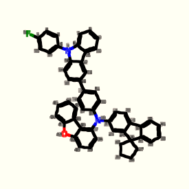 Fc1ccc(-n2c3ccccc3c3cc(-c4ccc(N(c5ccc6c(c5)C5(CCCC5)c5ccccc5-6)c5cccc6oc7ccccc7c56)cc4)ccc32)cc1